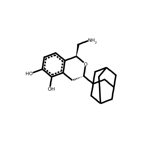 NC[C@H]1O[C@H](C23CC4CC(CC(C4)C2)C3)Cc2c1ccc(O)c2O